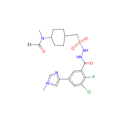 CCC(=O)N(C)C1CCC(CS(=O)(=O)NNC(=O)c2cc(-c3cn(C)cn3)cc(Cl)c2F)CC1